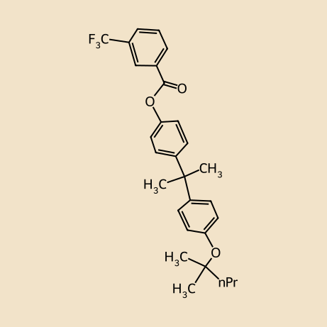 CCCC(C)(C)Oc1ccc(C(C)(C)c2ccc(OC(=O)c3cccc(C(F)(F)F)c3)cc2)cc1